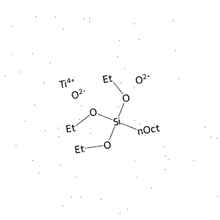 CCCCCCCC[Si](OCC)(OCC)OCC.[O-2].[O-2].[Ti+4]